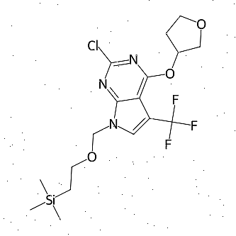 C[Si](C)(C)CCOCn1cc(C(F)(F)F)c2c(OC3CCOC3)nc(Cl)nc21